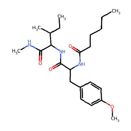 CCCCCC(=O)NC(Cc1ccc(OC)cc1)C(=O)NC(C(=O)NC)C(C)CC